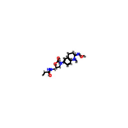 CCC(=O)NC[C@H]1CN(c2ccc3c(c2)CCC(=NOC)N3C)C(=O)O1